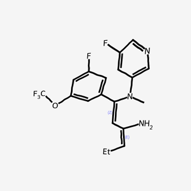 CC/C=C(N)\C=C(\c1cc(F)cc(OC(F)(F)F)c1)N(C)c1cncc(F)c1